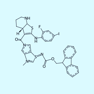 C[N+]1=CS(=NC(=O)OCC2c3ccccc3-c3ccccc32)c2cn(C(=O)C3=C(Nc4ccc(I)cc4F)SC4NCCC[C@@H]34)cc21